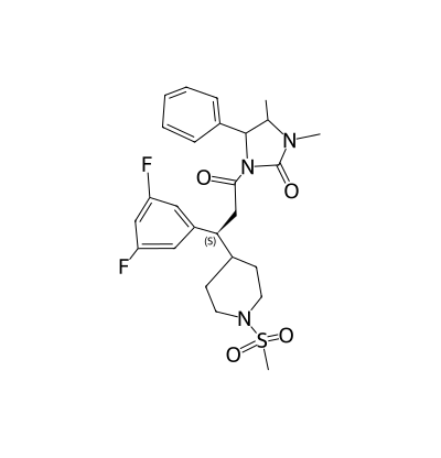 CC1C(c2ccccc2)N(C(=O)C[C@H](c2cc(F)cc(F)c2)C2CCN(S(C)(=O)=O)CC2)C(=O)N1C